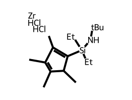 CC[Si](CC)(NC(C)(C)C)C1=C(C)C(C)=C(C)C1C.Cl.Cl.[Zr]